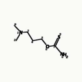 CN(C)CCCOC(N)=S